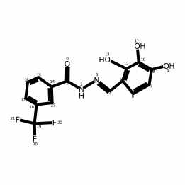 O=C(NN=Cc1ccc(O)c(O)c1O)c1cccc(C(F)(F)F)c1